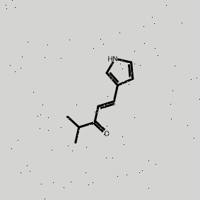 CC(C)C(=O)/C=C/c1cc[nH]c1